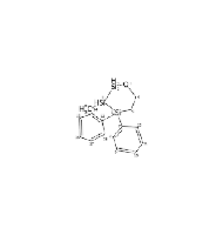 C[SiH]1[SiH2]OCC[Si]1(c1ccccc1)c1ccccc1